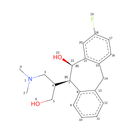 CN(C)CC(CO)[C@@H]1c2ccccc2Cc2ccc(F)cc2[C@@H]1O